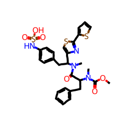 COC(=O)N(C)C(Cc1ccccc1)C(=O)N(C)C(Cc1ccc(NS(=O)(=O)O)cc1)c1csc(-c2cccs2)n1